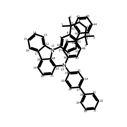 CC1(C)CCC(C)(C)c2cc(-n3c4ccccc4c4cccc(N(c5ccc(-c6ccccc6)cc5)c5ccc(-c6ccccc6)cc5)c43)ccc21